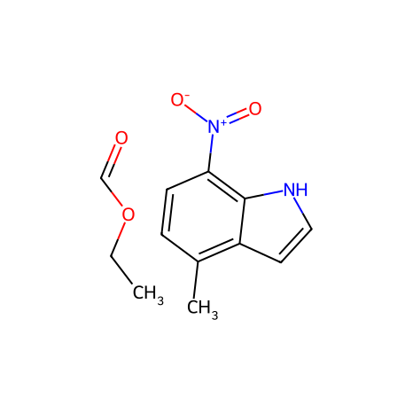 CCOC=O.Cc1ccc([N+](=O)[O-])c2[nH]ccc12